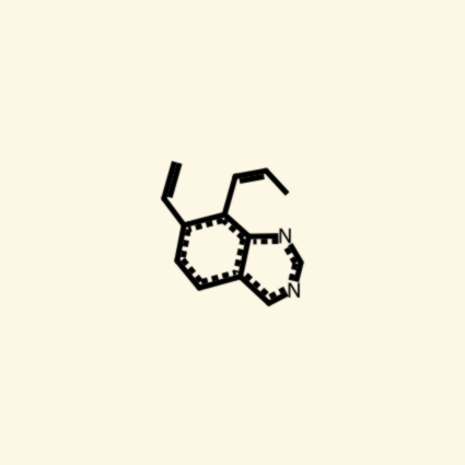 C=Cc1ccc2cncnc2c1/C=C\C